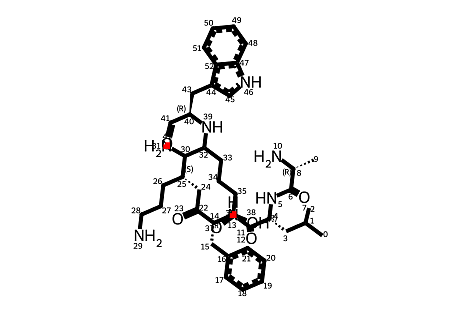 CC(C)C[C@@H](NC(=O)[C@@H](C)N)C(=O)N[C@H](Cc1ccccc1)C(=O)C[C@H](CCCN)C(N)C(CCCC(=O)O)N[C@@H](C=O)Cc1c[nH]c2ccccc12